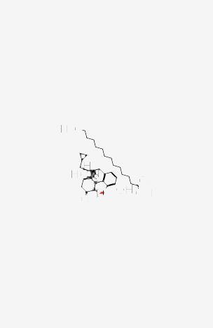 CCCCCCCCCCCCCC(=O)O.O=C1CC[C@@]2(O)[C@H]3Cc4ccc(O)c5c4[C@@]2(CCN3CC2CC2)[C@H]1O5